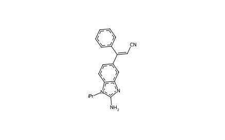 CC(C)n1c(N)nc2cc(C(=CC#N)c3ccccc3)ccc21